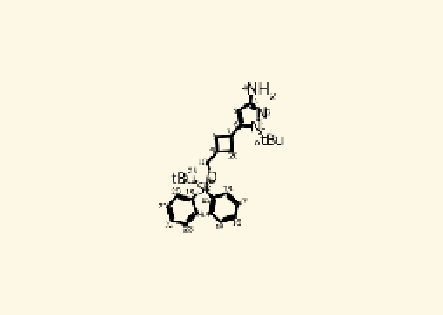 CC(C)(C)n1nc(N)cc1C1CC(CO[Si](c2ccccc2)(c2ccccc2)C(C)(C)C)C1